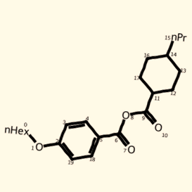 CCCCCCOc1ccc(C(=O)OC(=O)C2CCC(CCC)CC2)cc1